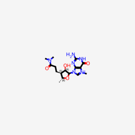 C[C@H]1OC(n2c[n+](C)c3c(=O)[nH]c(N)nc32)[C@H](O)[C@@H]1CCC(=O)N(C)C